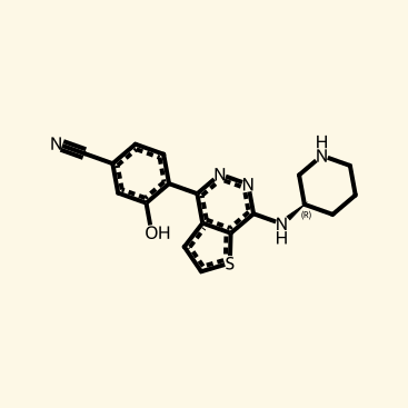 N#Cc1ccc(-c2nnc(N[C@@H]3CCCNC3)c3sccc23)c(O)c1